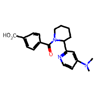 CN(C)c1ccnc(C2CCCCN2C(=O)c2ccc(C(=O)O)cc2)c1